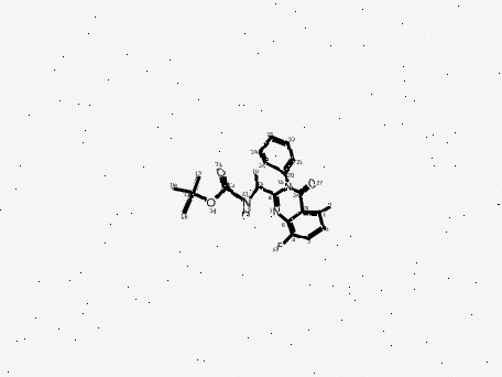 Cc1ccc(F)c2nc(C(C)NC(=O)OC(C)(C)C)n(-c3ccccc3)c(=O)c12